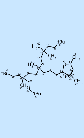 CC1OC2(CCCC(C)(CCC(C)(C)CCC(C)(C)C)CCC(C)(CCC(C)(C)C)CCC(C)(C)C)OC(C)C1O2